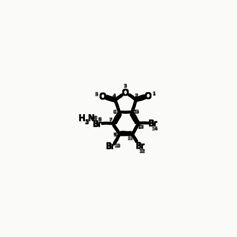 N.O=C1OC(=O)c2c(Br)c(Br)c(Br)c(Br)c21